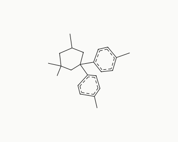 Cc1ccc(C2(c3ccc(C)cc3)CC(C)CC(C)(C)C2)cc1